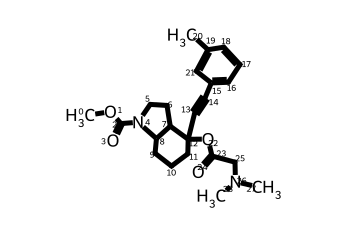 COC(=O)N1CCC2C1CCCC2(C#Cc1cccc(C)c1)OC(=O)CN(C)C